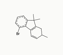 CC1C=CC2=C(C1)C(C)(C)c1cccc(Br)c12